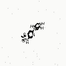 CS(=O)(=O)Nc1ccc(N2C[C@@H]3C[C@H]2CN3)nc1